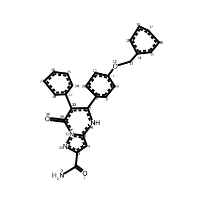 NC(=O)c1cc2[nH]c(-c3ccc(OCc4ccccc4)cc3)c(-c3ccccc3)c(=O)n2n1